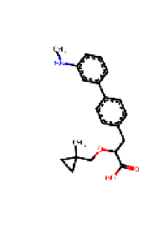 CNc1cccc(-c2ccc(CC(OCC3(C)CC3)C(=O)O)cc2)c1